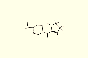 CCN1C(C(C)N2CCC(N(C)C)CC2)=C(C)C(C)(C)C1(C)OC